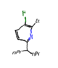 CCCC(CCC)c1ccc(F)c(CC)n1